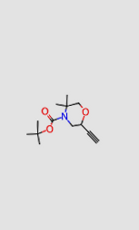 C#CC1CN(C(=O)OC(C)(C)C)C(C)(C)CO1